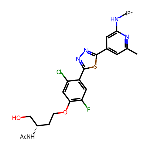 CC(=O)N[C@H](CO)CCOc1cc(Cl)c(-c2nnc(-c3cc(C)nc(NC(C)C)c3)s2)cc1F